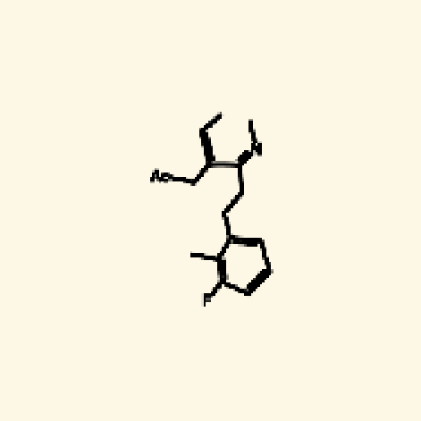 C/C=C(CC(C)=O)\C(CCc1cccc(F)c1C)=N/C